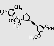 COc1cc(C#Cc2cncc(C(=O)N=S(C)(=O)c3cc(C)cc(C)c3)c2)cc(OC)c1